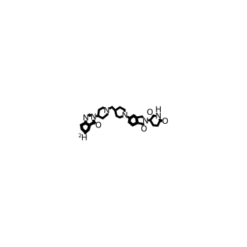 [2H]c1ccc2ncn(C3CCN(CC4CCN(c5ccc6c(c5)CN(C5CCC(=O)NC5=O)C6=O)CC4)CC3)c(=O)c2c1